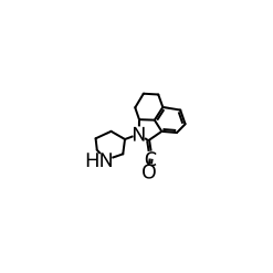 O=C=C1c2cccc3c2C(CCC3)N1C1CCCNC1